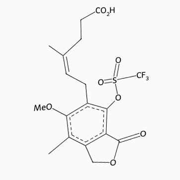 COc1c(C)c2c(c(OS(=O)(=O)C(F)(F)F)c1CC=C(C)CCC(=O)O)C(=O)OC2